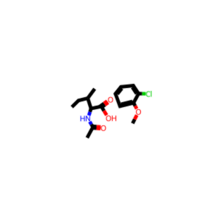 CCC(C)C(NC(C)=O)C(=O)O.COc1ccccc1Cl